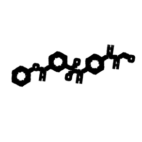 O=CNNc1ccc(NS(=O)(=O)c2cccc(NOc3ccccc3)c2)cc1